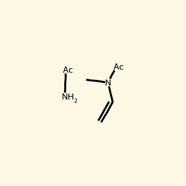 C=CN(C)C(C)=O.CC(N)=O